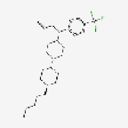 C=CCC(c1ccc(C(F)(F)F)cc1)C1CCC([C@H]2CC[C@H](CCCCC)CC2)CC1